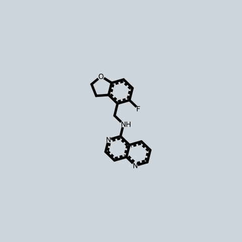 Fc1ccc2c(c1CNc1nccc3ncccc13)CCO2